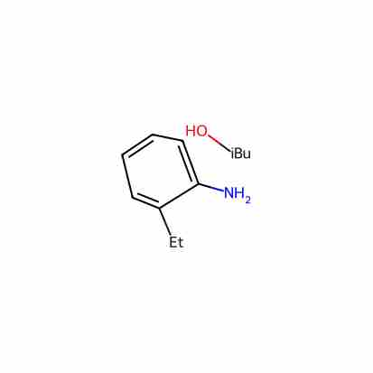 CCC(C)O.CCc1ccccc1N